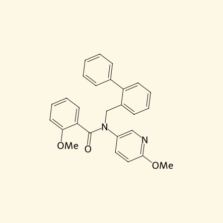 COc1ccc(N(Cc2ccccc2-c2ccccc2)C(=O)c2ccccc2OC)cn1